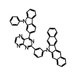 c1ccc(-n2c3ccccc3c3ccc(-c4nc(-c5cccc(-n6c7cc8ccccc8cc7c7cc8ccccc8cc76)c5)nc5nccnc45)cc32)cc1